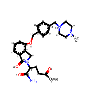 COC(=O)CCC(C(N)=O)N1Cc2c(OCc3ccc(CN4CCN(C(C)=O)CC4)cc3)cccc2C1=O